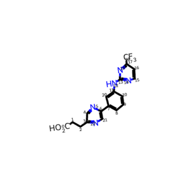 O=C(O)CCc1cnc(-c2cccc(Nc3nccc(C(F)(F)F)n3)c2)cn1